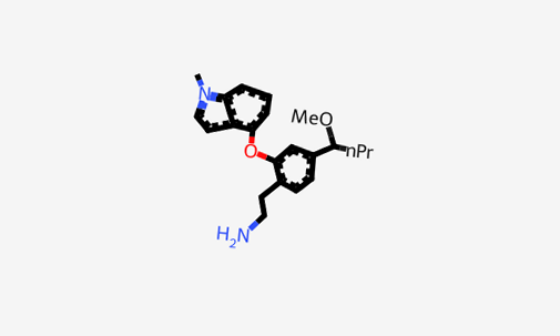 CCCC(OC)c1ccc(CCN)c(Oc2cccc3c2ccn3C)c1